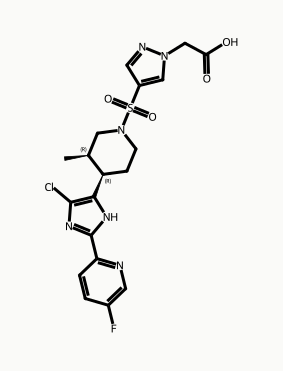 C[C@H]1CN(S(=O)(=O)c2cnn(CC(=O)O)c2)CC[C@H]1c1[nH]c(-c2ccc(F)cn2)nc1Cl